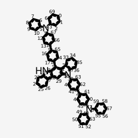 c1ccc(N(c2ccccc2)c2ccc(-c3ccc(-c4c5[nH]c6ccccc6c5cc5c4c4ccccc4n5-c4ccc(-c5ccc(N(c6ccccc6)c6ccccc6)cc5)cc4)cc3)cc2)cc1